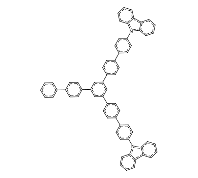 c1ccc(-c2ccc(-c3cc(-c4ccc(-c5ccc(-n6c7ccccc7c7ccccc76)cc5)cc4)cc(-c4ccc(-c5ccc(-n6c7ccccc7c7ccccc76)cc5)cc4)c3)cc2)cc1